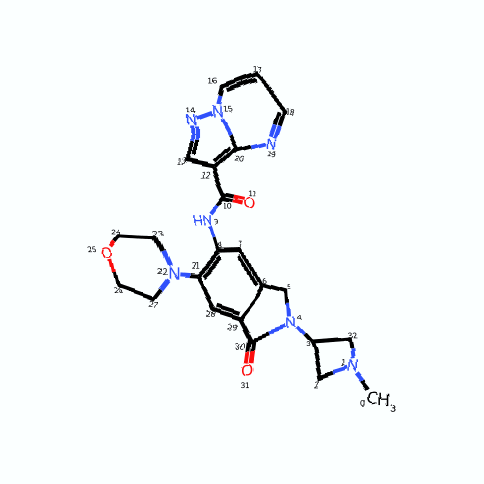 CN1CC(N2Cc3cc(NC(=O)c4cnn5cccnc45)c(N4CCOCC4)cc3C2=O)C1